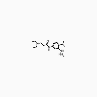 CCN(CC)CCC(=O)Nc1ccc(C(C)C)c(NN)c1